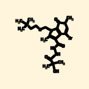 Cc1c(C(=O)NNC(=O)C(C)(C)O)c2c(Br)cn(C)c(=O)c2n1COCC[Si](C)(C)C